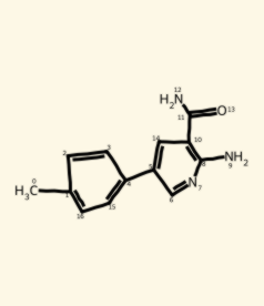 Cc1ccc(-c2cnc(N)c(C(N)=O)c2)cc1